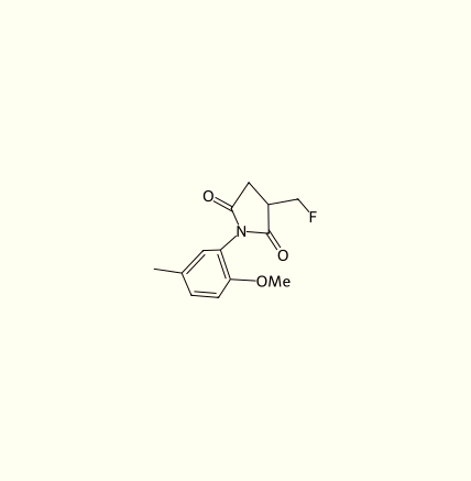 COc1ccc(C)cc1N1C(=O)CC(CF)C1=O